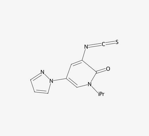 CC(C)n1cc(-n2cccn2)cc(N=C=S)c1=O